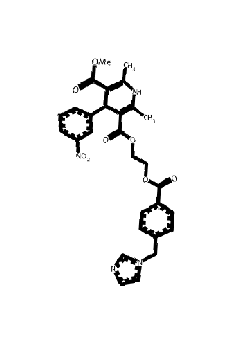 COC(=O)C1=C(C)NC(C)=C(C(=O)OCCOC(=O)c2ccc(Cn3ccnc3)cc2)C1c1cccc([N+](=O)[O-])c1